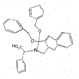 O=C(O)C(c1ccccc1)N1Cc2cc3ccccc3cc2C1(OCc1ccccc1)OCc1ccccc1